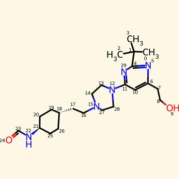 CC(C)(C)c1nc(CCO)cc(N2CCN(CC[C@H]3CC[C@H](NC=O)CC3)CC2)n1